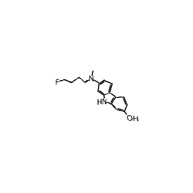 CN(CCCCF)c1ccc2c(c1)[nH]c1cc(O)ccc12